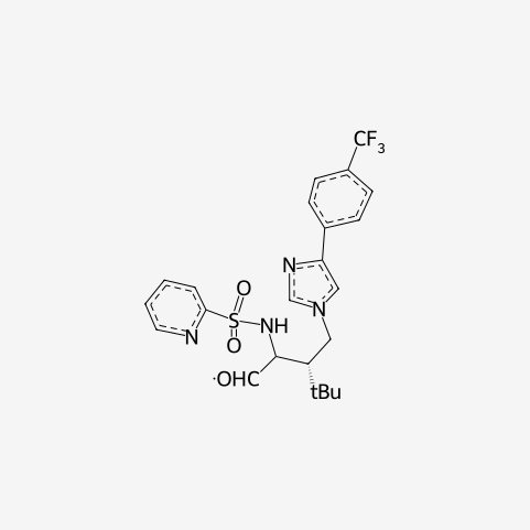 CC(C)(C)[C@@H](Cn1cnc(-c2ccc(C(F)(F)F)cc2)c1)C([C]=O)NS(=O)(=O)c1ccccn1